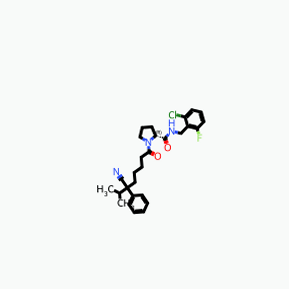 CC(C)C(C#N)(CCCCC(=O)N1CCC[C@@H]1C(=O)NCc1c(F)cccc1Cl)c1ccccc1